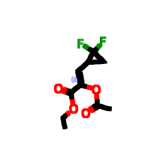 CCOC(=O)/C(=C/C1CC1(F)F)OC(C)=O